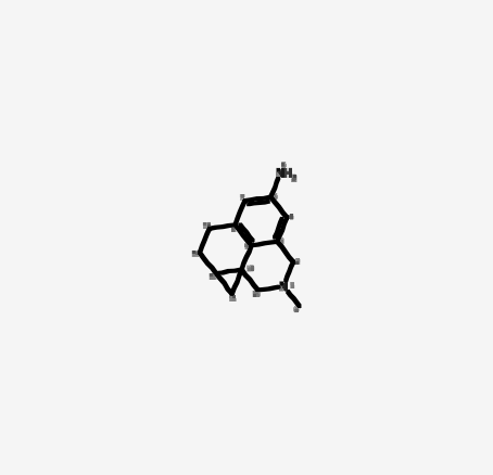 CN1Cc2cc(N)cc3c2C2(CC2CC3)C1